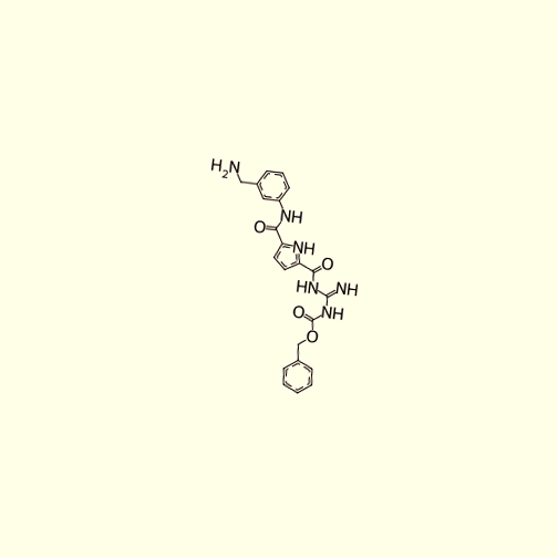 N=C(NC(=O)OCc1ccccc1)NC(=O)c1ccc(C(=O)Nc2cccc(CN)c2)[nH]1